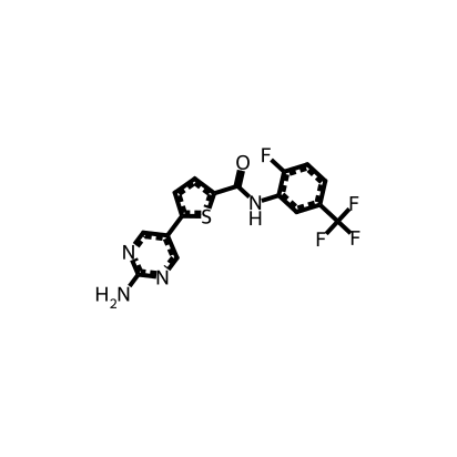 Nc1ncc(-c2ccc(C(=O)Nc3cc(C(F)(F)F)ccc3F)s2)cn1